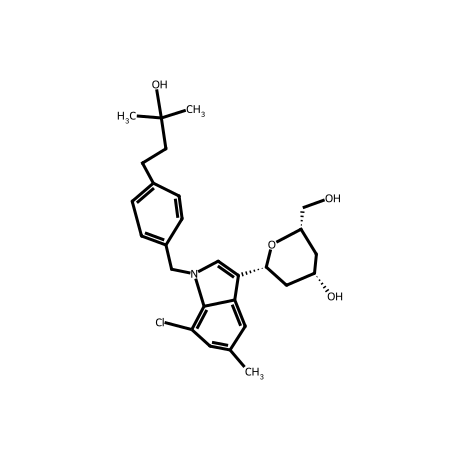 Cc1cc(Cl)c2c(c1)c([C@H]1C[C@@H](O)C[C@@H](CO)O1)cn2Cc1ccc(CCC(C)(C)O)cc1